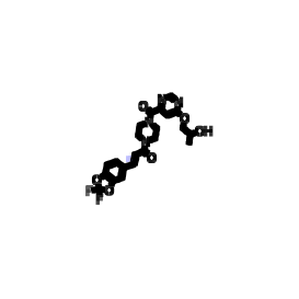 CC(O)COc1cc(C(=O)N2CCN(C(=O)/C=C/c3ccc4c(c3)OC(F)(F)O4)CC2)ncn1